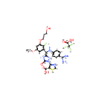 COc1cc(OCCCO)c(F)c(C(Nc2ccc(C(=N)N)cc2)c2nn(-c3ncsc3C(=O)O)c(=O)[nH]2)c1.O=C(O)C(F)(F)F